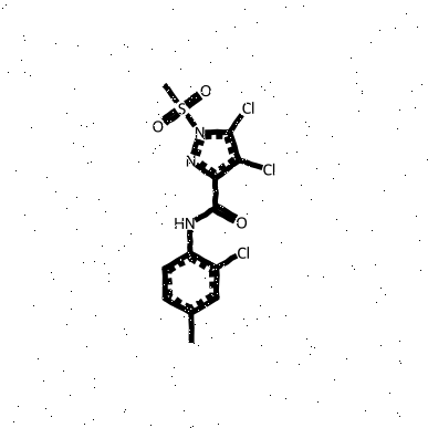 Cc1ccc(NC(=O)c2nn(S(C)(=O)=O)c(Cl)c2Cl)c(Cl)c1